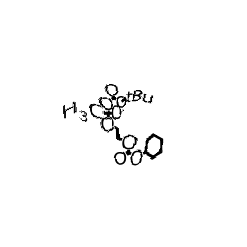 CC(C)(C)OC(=O)OC(C)([O])OCCOC(=O)OC1CCCCC1